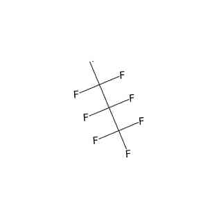 [CH2]C(F)(F)C(F)(F)C(F)(F)F